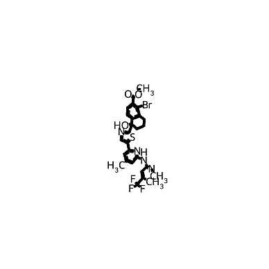 C/N=C(\C=C(/C)C(F)(F)F)Nc1cc(C)cc(-c2cnc(C3(O)CCCc4c3ccc(C(=O)OC)c4Br)s2)n1